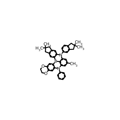 Cc1cc2c3c(c1)N(c1ccccc1)c1cc4c(cc1B3c1cc3c(cc1N2c1ccc2c(c1)CC(C)(C)C2)CC(C)(C)C3)OCCO4